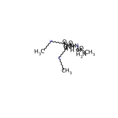 CCCCCCCC/C=C\CCCCCCCC(=O)NCC(NC(=O)CCCCCCC/C=C\CCCCCCCC)C(=O)NCC/N=C\C1CCCN1C(=O)CCC(C)N